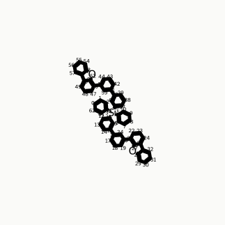 c1ccc([Si](c2ccccc2)(c2cccc(-c3cccc(-c4cccc5c4oc4ccccc45)c3)c2)c2cccc(-c3cccc(-c4cccc5c4oc4ccccc45)c3)c2)cc1